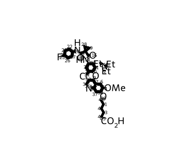 CCN(CC)CC.COc1cc2c(Oc3ccc(NC(=O)C4(C(=O)Nc5ccc(F)cc5)CC4)cc3Cl)ccnc2cc1OCCCCCC(=O)O